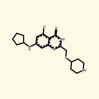 O=c1[nH]c(CSC2CCNCC2)nc2cc(NC3CCCC3)cc(Cl)c12